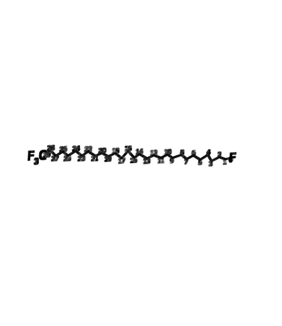 FCCCCCCCCCCCCCCCCCCCCCCCCCCCCC(F)(F)F